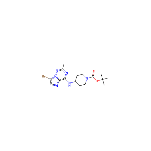 Cc1nc(NC2CCN(C(=O)OC(C)(C)C)CC2)c2ncc(Br)n2n1